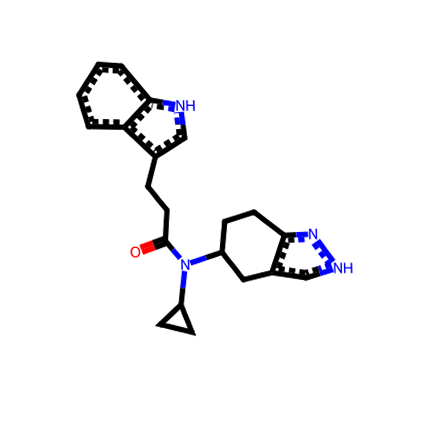 O=C(CCc1c[nH]c2ccccc12)N(C1CC1)C1CCc2n[nH]cc2C1